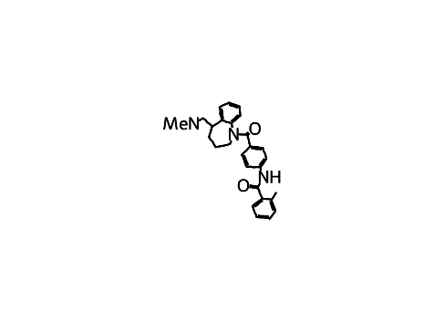 CNCC1CCCN(C(=O)c2ccc(NC(=O)c3ccccc3C)cc2)c2ccccc21